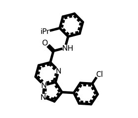 CC(C)c1ccccc1NC(=O)c1ccn2ncc(-c3cccc(Cl)c3)c2n1